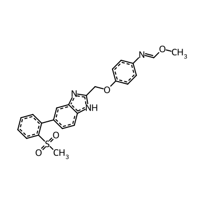 CO/C=N/c1ccc(OCc2nc3cc(-c4ccccc4S(C)(=O)=O)ccc3[nH]2)cc1